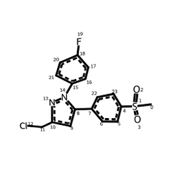 CS(=O)(=O)c1ccc(-c2cc(CCl)nn2-c2ccc(F)cc2)cc1